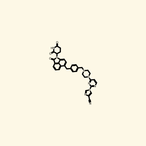 N#Cc1cn(-c2nccc(N3CCN(Cc4ccc(Cc5ccc6c7c(cccc57)C(=O)N6C5CCC(=O)NC5=O)cc4)CC3)n2)cn1